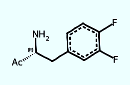 CC(=O)[C@H](N)Cc1ccc(F)c(F)c1